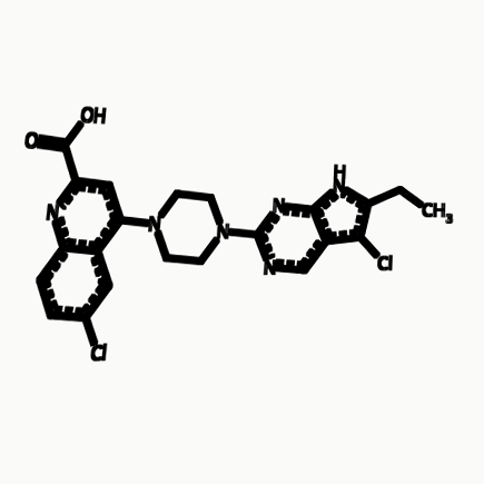 CCc1[nH]c2nc(N3CCN(c4cc(C(=O)O)nc5ccc(Cl)cc45)CC3)ncc2c1Cl